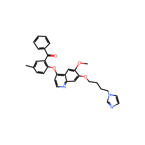 COc1cc2c(Oc3ccc(C)cc3C(=O)c3ccccc3)ccnc2cc1OCCCCn1ccnc1